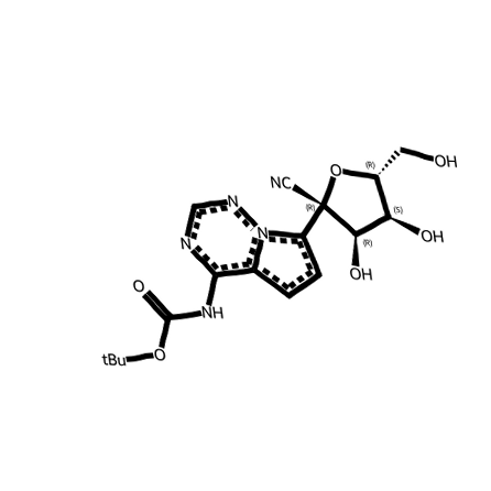 CC(C)(C)OC(=O)Nc1ncnn2c([C@]3(C#N)O[C@H](CO)[C@@H](O)[C@H]3O)ccc12